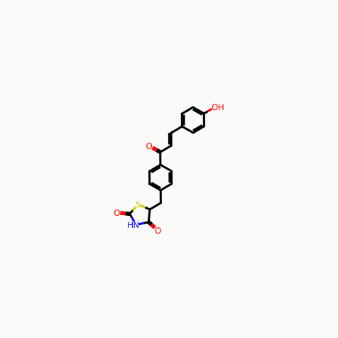 O=C1NC(=O)C(Cc2ccc(C(=O)C=Cc3ccc(O)cc3)cc2)S1